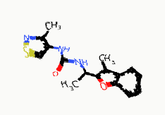 Cc1nscc1NC(=O)NC(C)c1oc2ccccc2c1C